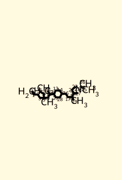 C=CCCC(C)(CCC)CC(C)C1CCC(CCC(C)C2CCN(C(C)C)C2)CC1